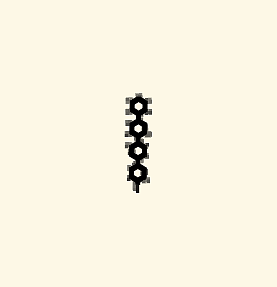 IC1CCC(C2CCC(C3CCC(C4CCCCC4)CC3)CC2)CC1